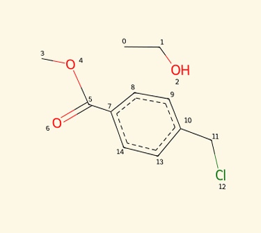 CCO.COC(=O)c1ccc(CCl)cc1